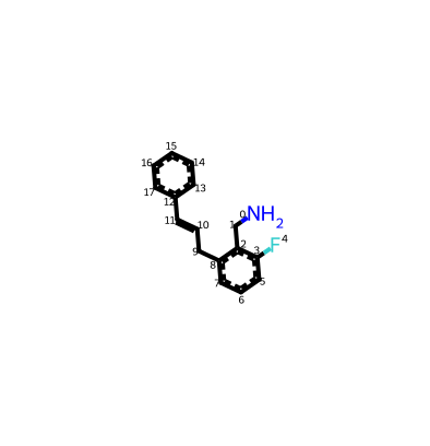 NCc1c(F)cccc1CC=Cc1ccccc1